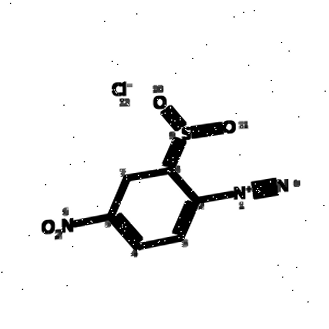 N#[N+]C1=CC=C([N+](=O)[O-])CC1=S(=O)=O.[Cl-]